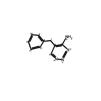 Nc1nnncc1Cc1ccccc1